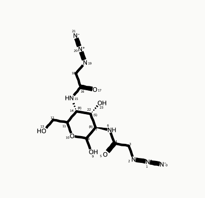 [N-]=[N+]=NCC(=O)N[C@H]1C(O)OC(CO)[C@H](NC(=O)CN=[N+]=[N-])[C@@H]1O